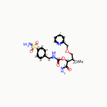 COC(COCc1ccccn1)C(OC(=O)NCc1ccc(S(N)(=O)=O)cc1)C(N)=O